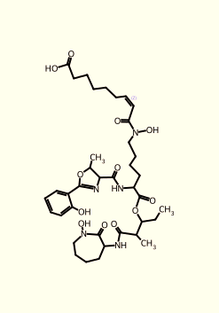 CCC(OC(=O)C(CCCCN(O)C(=O)/C=C\CCCCCC(=O)O)NC(=O)C1N=C(c2ccccc2O)OC1C)C(C)C(=O)NC1CCCCN(O)C1=O